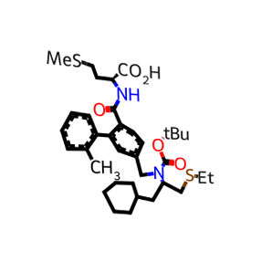 CCSCC(CC1CCCCC1)N(Cc1ccc(C(=O)N[C@@H](CCSC)C(=O)O)c(-c2ccccc2C)c1)C(=O)OC(C)(C)C